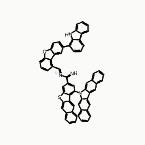 N=C(/N=C/c1cccc2oc3ccc(-c4cccc5c4[nH]c4ccccc45)cc3c12)c1cc(-n2c3cc4ccccc4cc3c3cc4ccccc4cc32)c2c(c1)sc1cc3ccccc3cc12